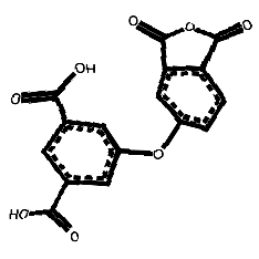 O=C(O)c1cc(Oc2ccc3c(c2)C(=O)OC3=O)cc(C(=O)O)c1